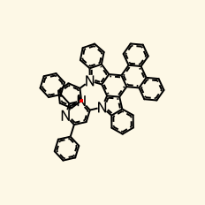 c1ccc(-c2cc(-n3c4ccccc4c4c5c6ccccc6c6ccccc6c5c5c6ccccc6n(-c6ccccc6)c5c43)nc(-c3ccccc3)n2)cc1